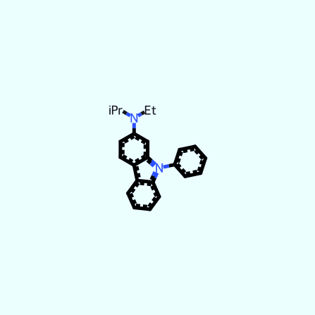 CCN(c1ccc2c3ccccc3n(-c3ccccc3)c2c1)C(C)C